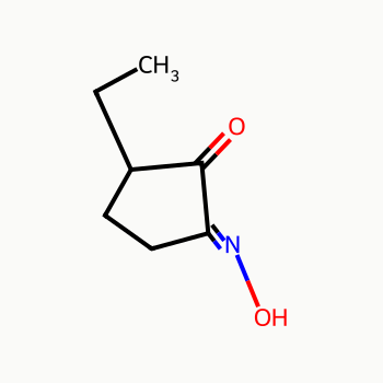 CCC1CC/C(=N\O)C1=O